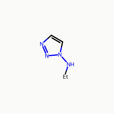 CCNn1ccnn1